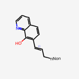 CCCCCCCCCC/C=C/c1ccc2cccnc2c1O